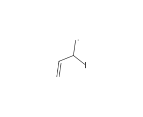 [CH2]C(I)C=C